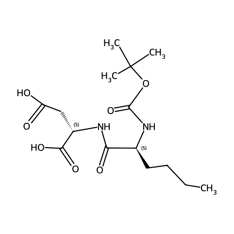 CCCC[C@H](NC(=O)OC(C)(C)C)C(=O)N[C@@H](CC(=O)O)C(=O)O